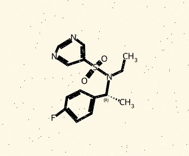 CCN([C@H](C)c1ccc(F)cc1)S(=O)(=O)c1cncnc1